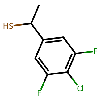 CC(S)c1cc(F)c(Cl)c(F)c1